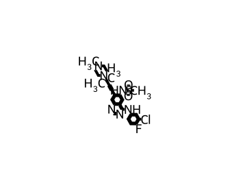 CN1CCN(C(C)(C)C#Cc2cc3ncnc(Nc4ccc(F)c(Cl)c4)c3cc2NS(C)(=O)=O)CC1